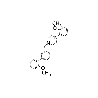 COc1ccccc1-c1cccc(CN2CCN(c3ccccc3OC)CC2)c1